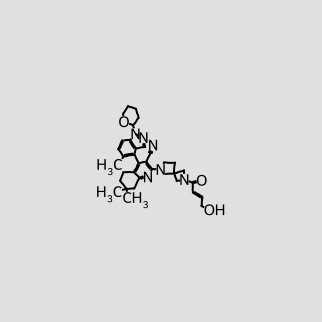 Cc1ccc2c(cnn2C2CCCCO2)c1-c1c(C#N)c(N2CCC3(CN(C(=O)/C=C/CO)C3)C2)nc2c1CCC(C)(C)C2